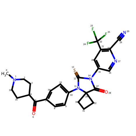 CN1CCC(C(=O)c2ccc(N3C(=S)N(c4cnc(C#N)c(C(F)(F)F)c4)C(=O)C34CCC4)cc2)CC1